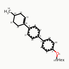 CCCCCCOc1ccc(-c2ccc(C3=CCC(C)CC3)cc2)cc1